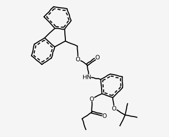 CCC(=O)Oc1c(NC(=O)OCC2c3ccccc3-c3ccccc32)cccc1OC(C)(C)C